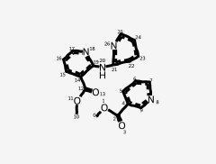 COC(=O)c1cccnc1.COC(=O)c1cccnc1Nc1ccccn1